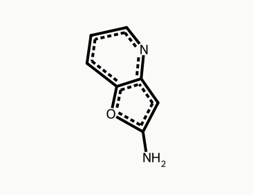 Nc1cc2ncccc2o1